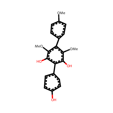 COc1ccc(-c2c(OC)c(O)c(-c3ccc(O)cc3)c(O)c2OC)cc1